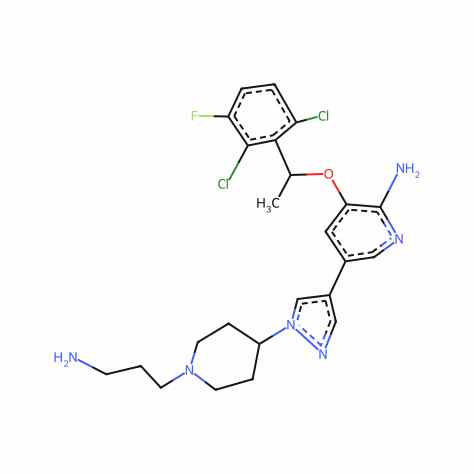 CC(Oc1cc(-c2cnn(C3CCN(CCCN)CC3)c2)cnc1N)c1c(Cl)ccc(F)c1Cl